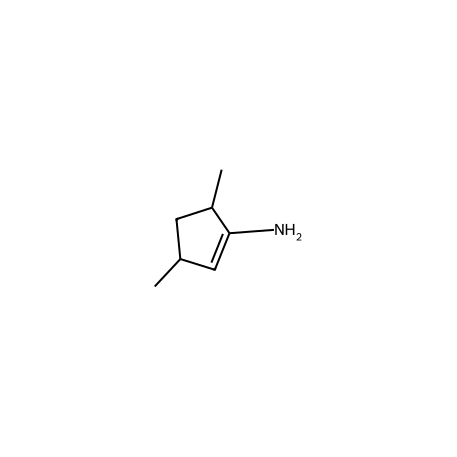 CC1C=C(N)C(C)C1